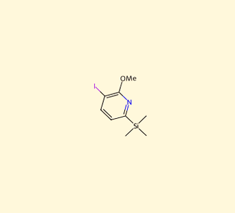 COc1nc([Si](C)(C)C)ccc1I